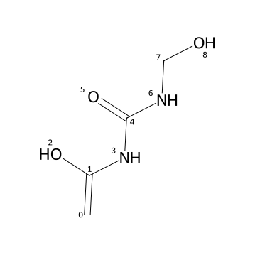 C=C(O)NC(=O)NCO